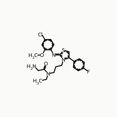 CCN(CCCn1c(-c2ccc(F)cc2)csc1=Nc1ccc(Cl)cc1OC)C(=O)CN